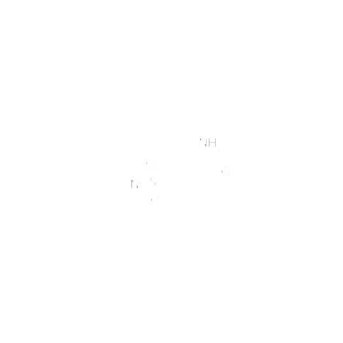 COc1ccc(S(=O)(=O)N2CCCC2)cc1N